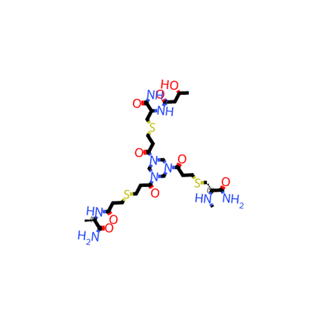 CN[C@H](CSCCC(=O)N1CN(C(=O)CCSCCC(=O)N[C@H](C)C(N)=O)CN(C(=O)CCSCC(NC(=O)CC(C)O)C(N)=O)C1)C(N)=O